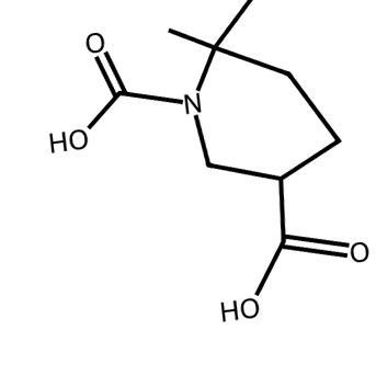 CC1(C)CCC(C(=O)O)CN1C(=O)O